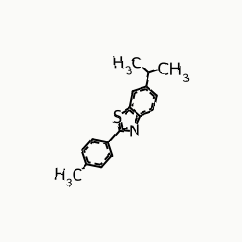 Cc1ccc(-c2nc3ccc(C(C)C)cc3s2)cc1